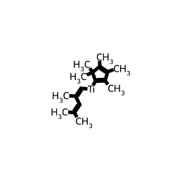 CC(C)=CC(C)=[CH][Ti][C]1=C(C)C(C)=C(C)C1(C)C